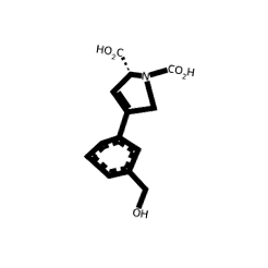 O=C(O)[C@H]1C=C(c2cccc(CO)c2)CN1C(=O)O